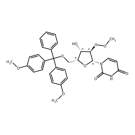 COO[C@@H]1[C@@H](O)[C@@H](COC(c2ccccc2)(c2ccc(OC)cc2)c2ccc(OC)cc2)O[C@H]1n1ccc(=O)[nH]c1=O